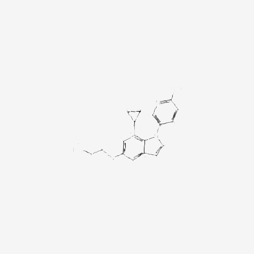 Cc1ccc(-n2ccc3cc(NCCO)cc(C4CC4)c32)cn1